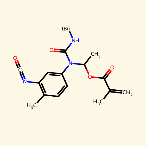 C=C(C)C(=O)OC(C)N(C(=O)NC(C)(C)C)c1ccc(C)c(N=C=O)c1